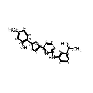 CC(O)c1cccc(Nc2nccc(-c3ccc(-c4ccc(O)cc4O)s3)n2)c1